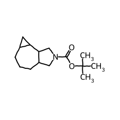 CC(C)(C)OC(=O)N1CC2CCCC3CC3C2C1